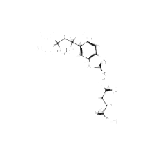 CC(C)(C)CC(C)(C)c1ccc2nc(SOC(=O)CCC(=O)O)sc2c1